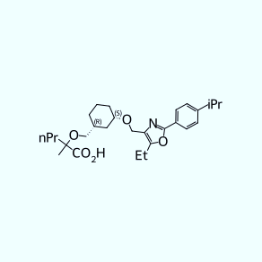 CCCC(C)(OC[C@@H]1CCC[C@H](OCc2nc(-c3ccc(C(C)C)cc3)oc2CC)C1)C(=O)O